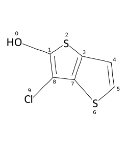 Oc1sc2ccsc2c1Cl